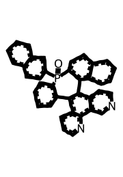 O=P1(c2ccc3ccccc3c2)c2ccccc2-c2c(c3ccncc3c3ncccc23)-c2c1ccc1ccccc21